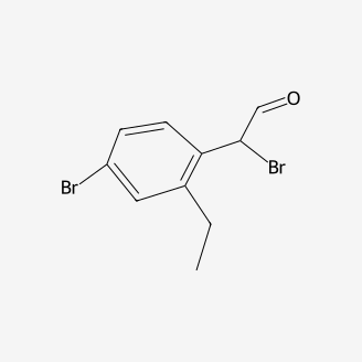 CCc1cc(Br)ccc1C(Br)C=O